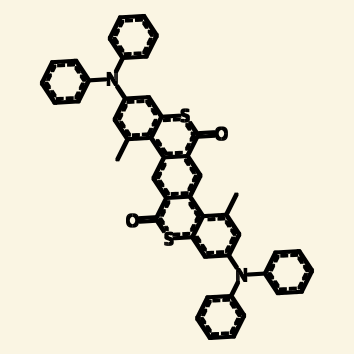 Cc1cc(N(c2ccccc2)c2ccccc2)cc2sc(=O)c3cc4c(cc3c12)c(=O)sc1cc(N(c2ccccc2)c2ccccc2)cc(C)c14